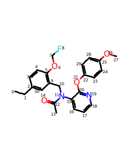 CCc1ccc(OCF)c(CN(C(C)=O)c2cccnc2Oc2ccc(OC)cc2)c1